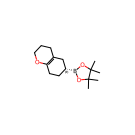 CC1(C)OB([C@@H]2CCC3=C(CCCO3)C2)OC1(C)C